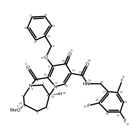 CO[C@H]1CC[C@H]2CN(C1)C(=O)c1c(OCc3ccccc3)c(=O)c(C(=O)NCc3c(F)cc(F)cc3F)cn12